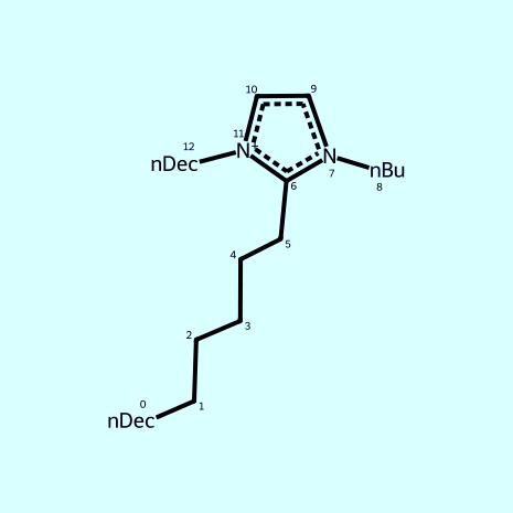 CCCCCCCCCCCCCCCc1n(CCCC)cc[n+]1CCCCCCCCCC